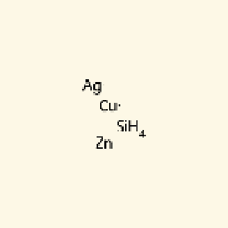 [Ag].[Cu].[SiH4].[Zn]